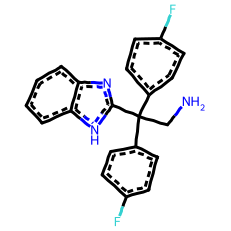 NCC(c1ccc(F)cc1)(c1ccc(F)cc1)c1nc2ccccc2[nH]1